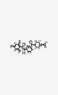 O=C(Nc1cccc(C(=O)C2CCN(C3CC3)CC2)n1)c1c(F)cc(F)cc1F